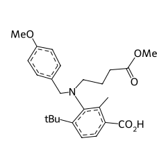 COC(=O)CCCN(Cc1ccc(OC)cc1)c1c(C(C)(C)C)ccc(C(=O)O)c1C